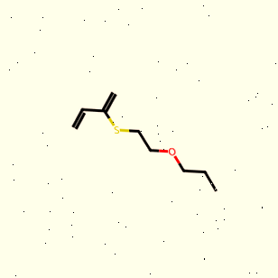 C=CC(=C)SCCOCCC